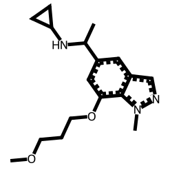 COCCCOc1cc(C(C)NC2CC2)cc2cnn(C)c12